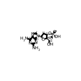 Nc1nc(N)c2ncn([C@H]3C[C@H](OP(=O)(O)O)[C@@H](CO)O3)c2n1